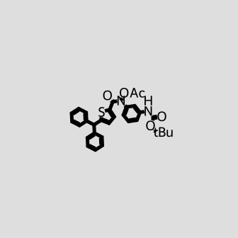 CC(=O)ON(C(=O)c1ccc(C(c2ccccc2)c2ccccc2)s1)c1cccc(NC(=O)OC(C)(C)C)c1